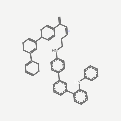 C=C(/C=C\CCNc1ccc(-c2cccc(-c3ccccc3Nc3ccccc3)c2)cc1)C1=CCC(C2=CCCC(C3=CC=CCC3)=C2)C=C1